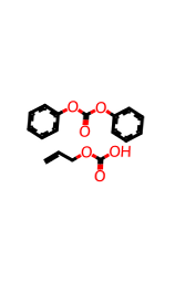 C=CCOC(=O)O.O=C(Oc1ccccc1)Oc1ccccc1